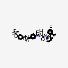 CC(C)c1cc(F)ccc1N1/C(=N/C(=O)N/C=C(\F)c2ccc(-c3ncn(-c4ccc(OC(F)(F)F)cc4)n3)cc2)SCCC1C